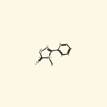 Cn1c(-c2ccccn2)noc1=O